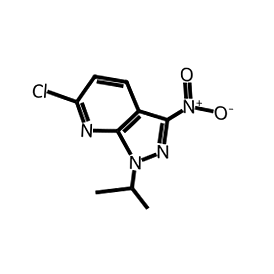 CC(C)n1nc([N+](=O)[O-])c2ccc(Cl)nc21